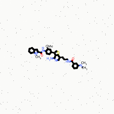 COc1cc(-c2csc3c(C=CCNC(=O)c4cccc(N(C)C)c4)cnc(N)c23)ccc1NC(=O)c1cc2ccccc2n1C